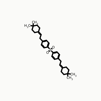 CC1(C)CCC(=CCc2ccc(S(=O)(=O)c3ccc(CC=C4CCC(C)(C)CC4)cc3)cc2)CC1